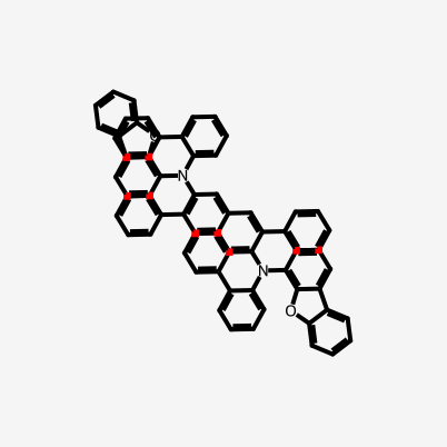 c1ccc(-c2ccccc2N(c2cc3cc(-c4ccccc4)c(N(c4ccccc4-c4ccccc4)c4cccc5c4oc4ccccc45)cc3cc2-c2ccccc2)c2cccc3c2oc2ccccc23)cc1